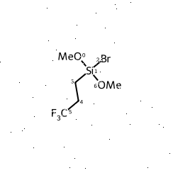 CO[Si](Br)(CCC(F)(F)F)OC